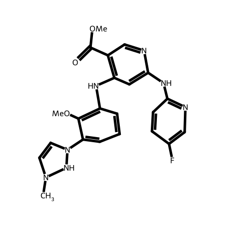 COC(=O)c1cnc(Nc2ccc(F)cn2)cc1Nc1cccc(N2C=CN(C)N2)c1OC